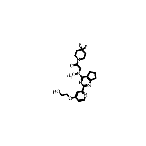 CN(CC(=O)N1CCC(F)(F)CC1)c1nc(-c2cc(OCCO)ccn2)nc2c1CCC2